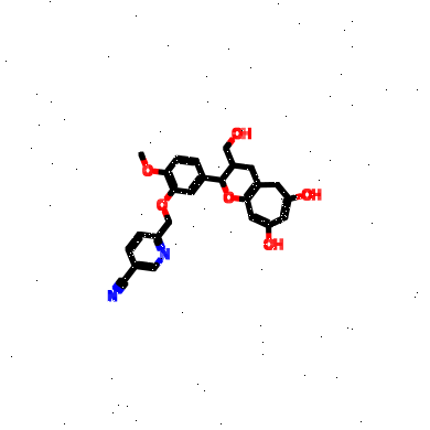 COc1ccc(C2OC3=C(CC(O)=CC(O)=C3)CC2CO)cc1OCc1ccc(C#N)cn1